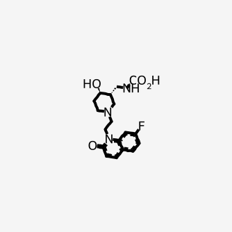 O=C(O)NC[C@@H]1CN(CCn2c(=O)ccc3ccc(F)cc32)CC[C@@H]1O